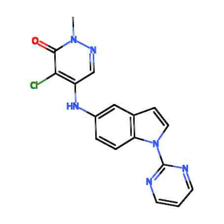 Cn1ncc(Nc2ccc3c(ccn3-c3ncccn3)c2)c(Cl)c1=O